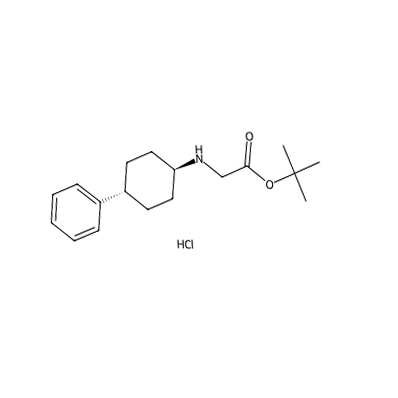 CC(C)(C)OC(=O)CN[C@H]1CC[C@H](c2ccccc2)CC1.Cl